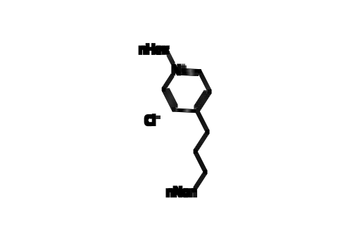 CCCCCCCCCCCCc1cc[n+](CCCCCC)cc1.[Cl-]